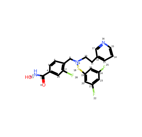 O=C(NO)c1ccc(CN(CCc2cccnc2)Sc2cc(F)cc(F)c2)c(F)c1